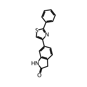 O=C1Cc2ccc(-c3csc(-c4ccccc4)n3)cc2N1